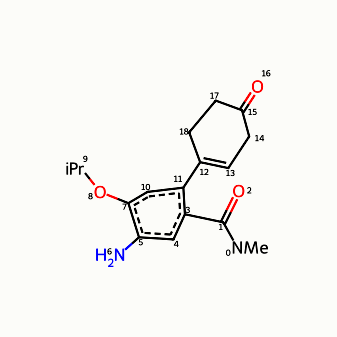 CNC(=O)c1cc(N)c(OC(C)C)cc1C1=CCC(=O)CC1